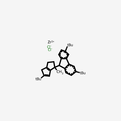 CC(C)(C)C1=CC2=C(CCC2(C)C2c3ccc(C(C)(C)C)cc3-c3cc(C(C)(C)C)ccc32)C1.[Cl-].[Cl-].[Zr+2]